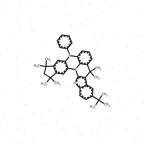 CC(C)(C)c1ccc2oc3c(c2c1)C(C)(C)c1cccc2c1B3c1cc3c(cc1N2c1ccccc1)C(C)(C)CC3(C)C